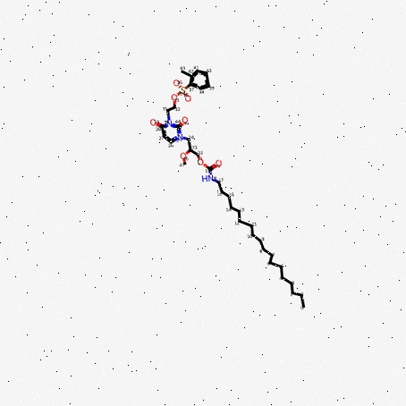 CCCCCCCCCCCCCCCCCCNC(=O)OCC(Cn1ccc(=O)n(CCOS(=O)(=O)c2ccccc2C)c1=O)OC